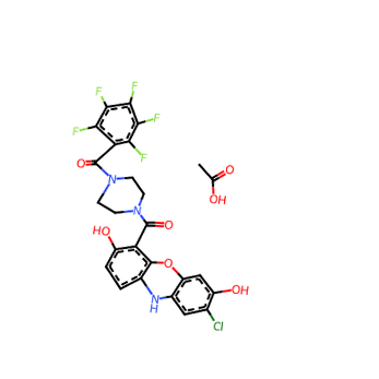 CC(=O)O.O=C(c1c(F)c(F)c(F)c(F)c1F)N1CCN(C(=O)c2c(O)ccc3c2Oc2cc(O)c(Cl)cc2N3)CC1